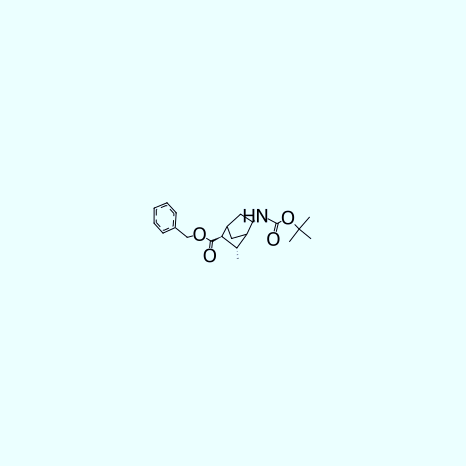 C[C@H]1C2CC(C[C@@H]2NC(=O)OC(C)(C)C)[C@@H]1C(=O)OCc1ccccc1